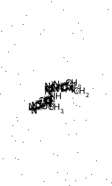 C=CC(=O)N1CCN(c2ncc3ncnc(Nc4ccc(Oc5cc6ncnn6cc5C)c(C)c4)c3n2)C[C@H]1C